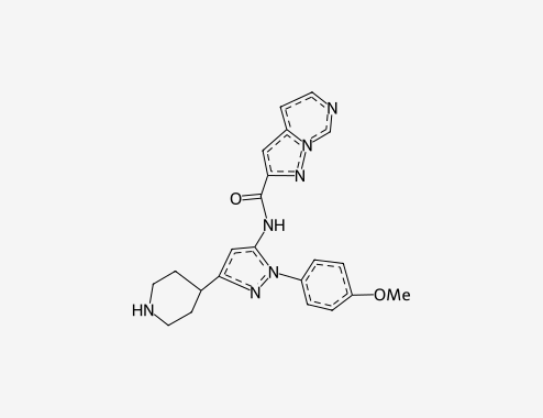 COc1ccc(-n2nc(C3CCNCC3)cc2NC(=O)c2cc3ccncn3n2)cc1